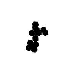 c1ccc(N(c2ccc(-c3cccc4c3-c3ccccc3C43c4ccccc4-c4ccccc43)cc2)c2ccc(-c3cccc4ccccc34)cc2)c(-c2cccc3c2sc2ccccc23)c1